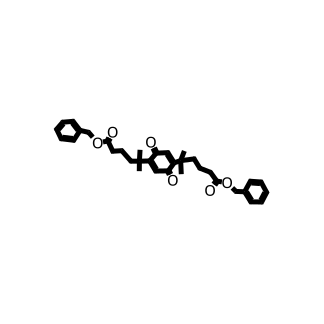 CC(C)(CCCC(=O)OCc1ccccc1)C1=CC(=O)C(C(C)(C)CCCC(=O)OCc2ccccc2)=CC1=O